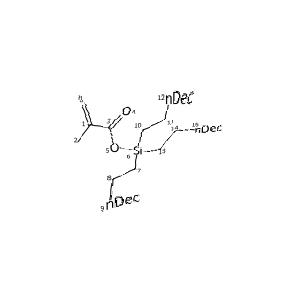 C=C(C)C(=O)O[Si](CCCCCCCCCCCC)(CCCCCCCCCCCC)CCCCCCCCCCCC